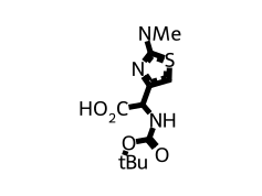 CNc1nc(C(NC(=O)OC(C)(C)C)C(=O)O)cs1